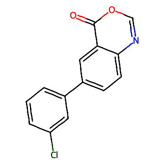 O=c1ocnc2ccc(-c3cccc(Cl)c3)cc12